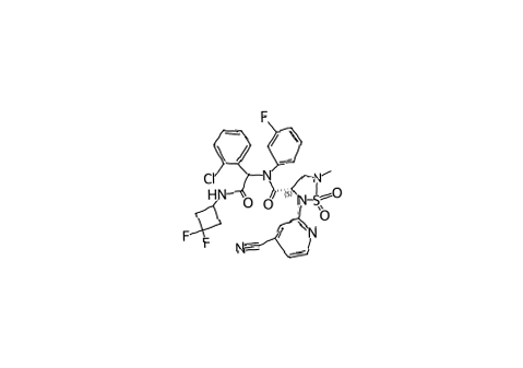 CN1C[C@@H](C(=O)N(c2cccc(F)c2)C(C(=O)NC2CC(F)(F)C2)c2ccccc2Cl)N(c2cc(C#N)ccn2)S1(=O)=O